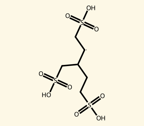 O=S(=O)(O)C[CH]C(CCS(=O)(=O)O)CS(=O)(=O)O